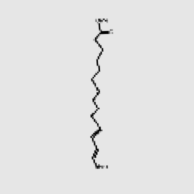 CCCCCCC=CC=CCCCCCCCCCC(=O)OC